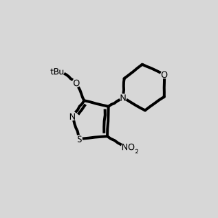 CC(C)(C)Oc1nsc([N+](=O)[O-])c1N1CCOCC1